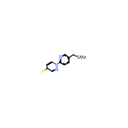 CSCc1ccc(N2C=CC(F)C=N2)nc1